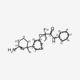 CC1(c2cccc(OC(F)(F)C(=O)Nc3ccccc3)c2)CCSC(N)=N1